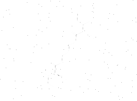 CCC(C)[C@H](N)C(=O)OCOCOC(=O)[C@@H](N)C(C)CC